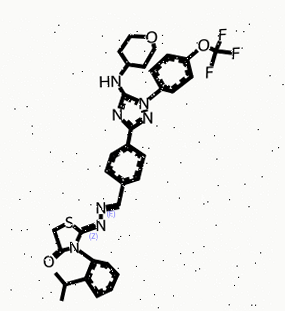 CC(C)c1ccccc1N1C(=O)CS/C1=N\N=C\c1ccc(-c2nc(NC3CCOCC3)n(-c3ccc(OC(F)(F)F)cc3)n2)cc1